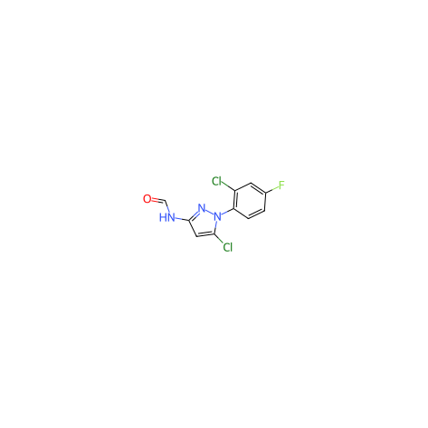 O=CNc1cc(Cl)n(-c2ccc(F)cc2Cl)n1